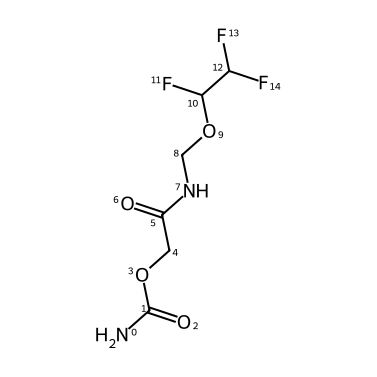 NC(=O)OCC(=O)NCOC(F)C(F)F